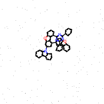 c1ccc(-c2nc(-c3ccccc3)nc(-c3cccc4oc5cc(-n6c7ccccc7c7ccccc76)cc(-c6ccc7oc8ccccc8c7c6)c5c34)n2)cc1